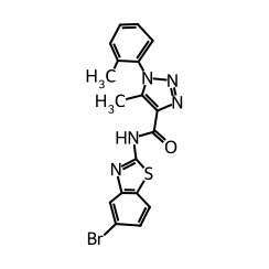 Cc1ccccc1-n1nnc(C(=O)Nc2nc3cc(Br)ccc3s2)c1C